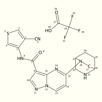 N#Cc1cscc1NC(=O)c1cnn2ccc(N3CC4CCC3CN4)nc12.O=C(O)C(F)(F)F